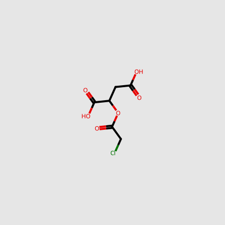 O=C(O)CC(OC(=O)CCl)C(=O)O